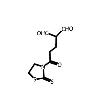 O=CC(C=O)CCC(=O)N1CCSC1=S